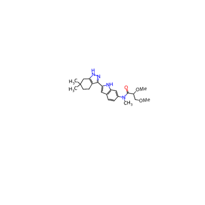 COCC(OC)C(=O)N(C)c1ccc2cc(-c3n[nH]c4c3CCC(C)(C)C4)[nH]c2c1